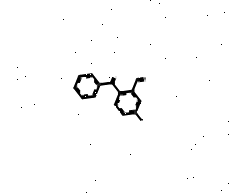 O=Cc1cc(I)ccc1C(=O)c1ccccc1